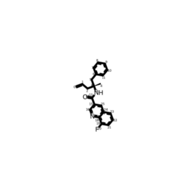 C=CC[C@](C)(Cc1ccccc1)NC(=O)c1cnc2c(F)cccc2c1